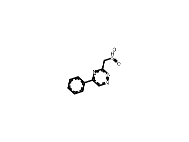 O=[SH](=O)Cc1nncc(-c2ccccc2)n1